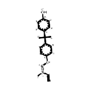 C=C[SiH](C)OOc1ccc(C(C)(C)c2ccc(O)cc2)cc1